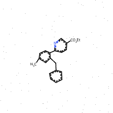 CCOC(=O)c1ccc(-c2ccc(C)cc2Cc2ccccc2)nc1